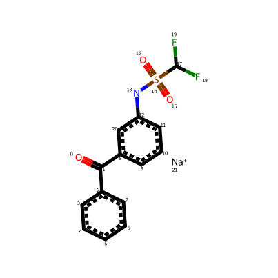 O=C(c1ccccc1)c1cccc([N-]S(=O)(=O)C(F)F)c1.[Na+]